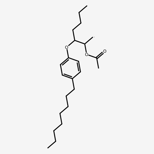 [CH2]C(OC(C)=O)C(CCCC)Oc1ccc(CCCCCCCC)cc1